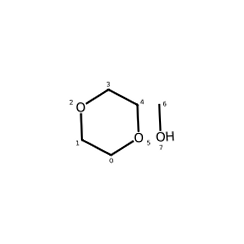 C1COCCO1.CO